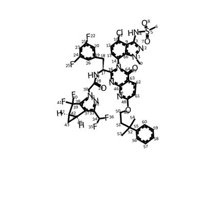 Cn1nc(NS(C)(=O)=O)c2c(Cl)ccc(-n3c([C@H](Cc4cc(F)cc(F)c4)NC(=O)Cn4nc(C(F)F)c5c4C(F)(F)[C@@H]4C[C@H]54)nc4nc(OCCC(C)(C)c5ccccc5)ccc4c3=O)c21